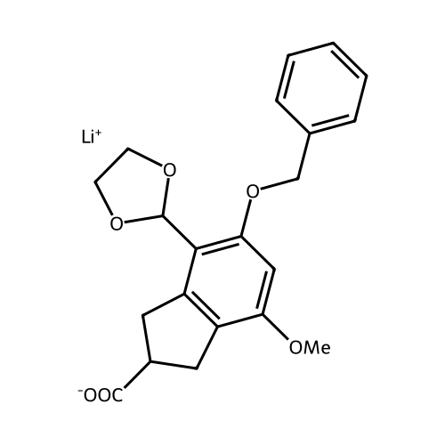 COc1cc(OCc2ccccc2)c(C2OCCO2)c2c1CC(C(=O)[O-])C2.[Li+]